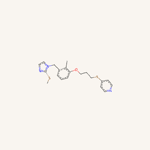 CSc1nccn1Cc1cccc(OCCCSc2ccncc2)c1C